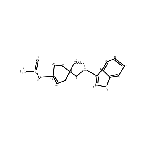 CCOC(=O)C1(COc2nsc3ccccc23)CC=C(OS(=O)C(F)(F)F)CC1